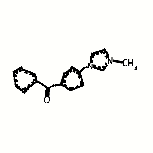 Cn1cc[n+](-c2ccc(C(=O)c3ccccc3)cc2)c1